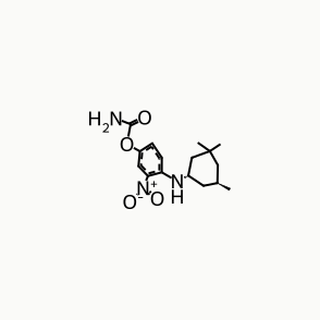 C[C@H]1C[C@H](Nc2ccc(OC(N)=O)cc2[N+](=O)[O-])CC(C)(C)C1